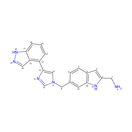 NCc1cc2ccc(Cn3cnc(-c4cccc5[nH]ncc45)c3)cc2[nH]1